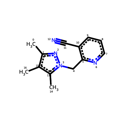 Cc1nn(Cc2ncccc2C#N)c(C)c1C